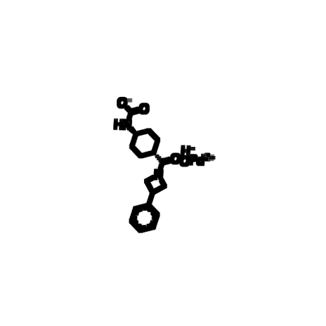 O=C([O-])N[C@H]1CC[C@H](C(=O)N2CC(c3ccccc3)C2)CC1.[OH-].[Pd+2]